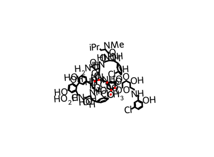 CN[C@@H](CC(C)C)C(=O)N[C@H]1C(=O)N[C@@H](CC(N)=O)C(=O)N[C@H]2C(=O)N[C@H]3C(=O)N[C@H](C(=O)N[C@@H](C(=O)O)c4cc(O)cc(O)c4-c4cc3ccc4O)[C@H](O)c3ccc(c(Cl)c3)Oc3cc2cc(c3OC2OC(CNCc3cc(Cl)ccc3O)C(O)C(O)C2OC2CC(C)(N)C(O)C(C)O2)Oc2ccc(cc2Cl)[C@H]1O